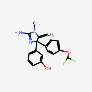 C=C1N(C)C(N)=NC1(c1ccc(OC(F)F)cc1)c1cccc(O)c1